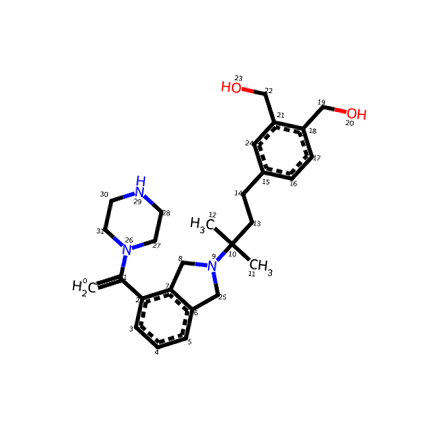 C=C(c1cccc2c1CN(C(C)(C)CCc1ccc(CO)c(CO)c1)C2)N1CCNCC1